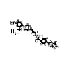 COc1cc(Br)ccc1N1CCN(CCCCNC(=O)c2ccc(-c3cn4ccsc4n3)cc2)CC1